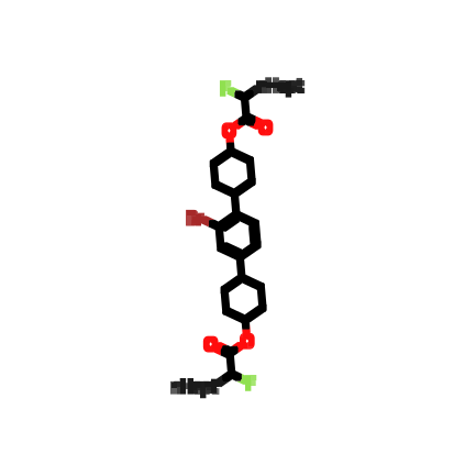 CCCCCCCC(F)C(=O)OC1CCC(c2ccc(C3CCC(OC(=O)C(F)CCCCCCC)CC3)c(Br)c2)CC1